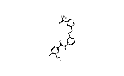 Cc1ccc(C(=O)Nc2cccc(OCc3cncc(C(N)=O)c3)c2)cc1[N+](=O)[O-]